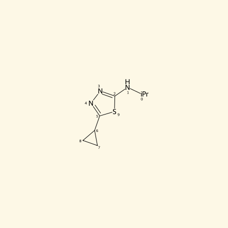 CC(C)Nc1nnc(C2CC2)s1